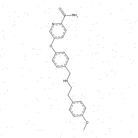 COc1ccc(CCNCc2ccc(Oc3ccc(C(N)=O)nc3)cc2)cc1